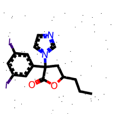 CCCC1CC(c2cc(I)cc(I)c2)(n2ccnc2)C(=O)O1